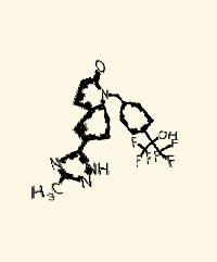 Cc1n[nH]c(-c2ccc3c(ccc(=O)n3Cc3ccc(C(O)(C(F)(F)F)C(F)(F)F)cc3)c2)n1